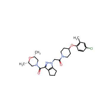 Cc1cc(Cl)ccc1OC1CCN(C(=O)Cn2nc(C(=O)N3C[C@@H](C)O[C@@H](C)C3)c3c2CCC3)CC1